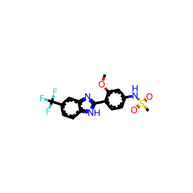 COc1cc(NS(C)(=O)=O)ccc1-c1nc2cc(C(F)(F)F)ccc2[nH]1